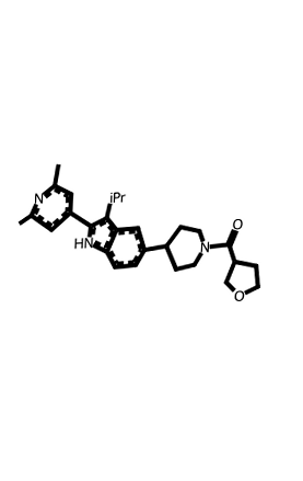 Cc1cc(-c2[nH]c3ccc(C4CCN(C(=O)C5CCOC5)CC4)cc3c2C(C)C)cc(C)n1